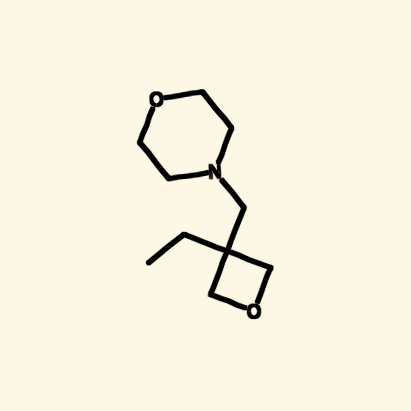 CCC1(CN2CCOCC2)COC1